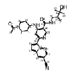 CC(=O)N1CCC(Nc2cc(-c3ccc4cc(C#N)cnn34)ncc2C(=O)NCC(F)C(C)(C)O)CC1